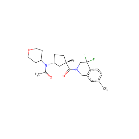 CC(C)[C@]1(C(=O)N2Cc3cc(C(F)(F)F)ccc3C(F)(F)C2)CC[C@@H](N(C(=O)C(F)(F)F)C2CCOCC2)C1